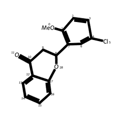 COc1ccc(Cl)cc1C1CC(=O)c2ccccc2O1